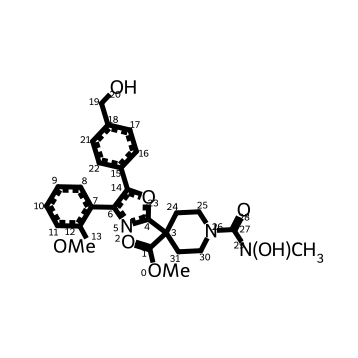 COC(=O)C1(c2nc(-c3ccccc3OC)c(-c3ccc(CO)cc3)o2)CCN(C(=O)N(C)O)CC1